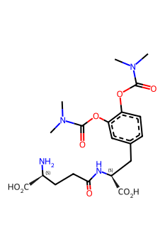 CN(C)C(=O)Oc1ccc(C[C@H](NC(=O)CC[C@H](N)C(=O)O)C(=O)O)cc1OC(=O)N(C)C